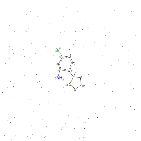 Nc1cc(Br)ccc1C1CCCS1